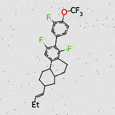 CCC=CC1CCC2c3cc(F)c(-c4ccc(OC(F)(F)F)c(F)c4)c(F)c3CCC2C1